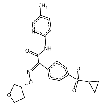 Cc1ccc(NC(=O)/C(=N/O[C@@H]2CCOC2)c2ccc(S(=O)(=O)C3CC3)cc2)nc1